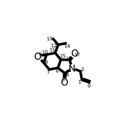 C=CCN1C(=O)C2CC3OC3C(C(C)C)C2C1=O